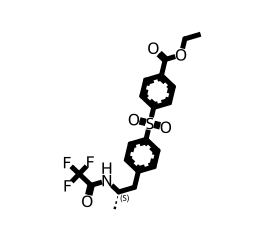 CCOC(=O)c1ccc(S(=O)(=O)c2ccc(C[C@H](C)NC(=O)C(F)(F)F)cc2)cc1